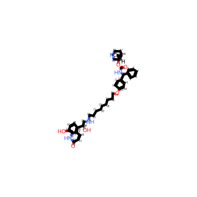 O=C(NC(c1ccccc1)c1ccc(OCCCCCCCCCNC[C@@H](O)c2ccc(O)c3[nH]c(=O)ccc23)cc1)O[C@H]1CN2CCC1CC2